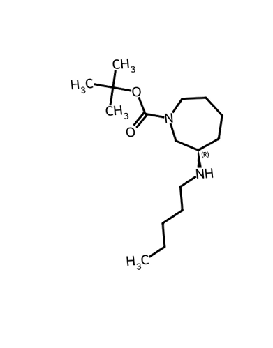 CCCCCN[C@@H]1CCCCN(C(=O)OC(C)(C)C)C1